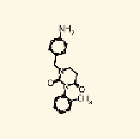 Cc1ccccc1N1C(=O)CCN(Cc2ccc(N)cc2)C1=O